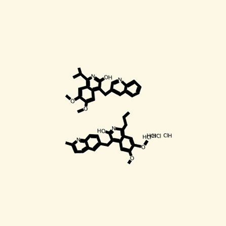 CCCc1nc(O)c(Cc2ccc3nc(C)ccc3c2)c2cc(OC)c(OC)cc12.COc1cc2c(C(C)C)nc(O)c(Cc3cnc4ccccc4c3)c2cc1OC.Cl.Cl.Cl.Cl